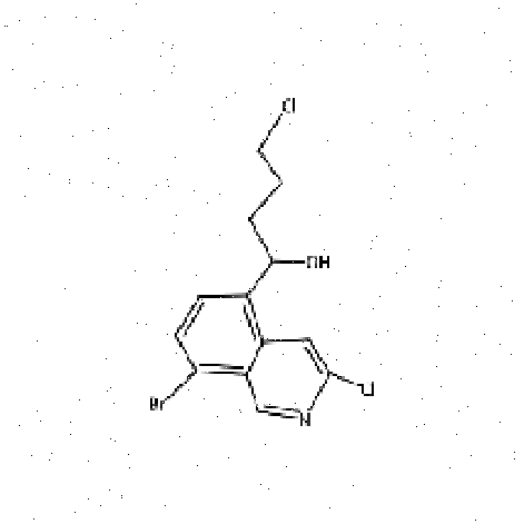 OC(CCCCl)c1ccc(Br)c2cnc(Cl)cc12